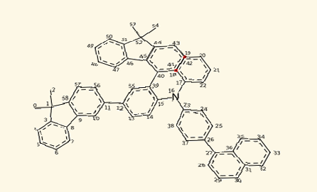 CC1(C)c2ccccc2-c2cc(-c3ccc(N(c4ccccc4)c4ccc(-c5cccc6ccccc56)cc4)c(-c4cccc5c4-c4ccccc4C5(C)C)c3)ccc21